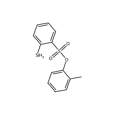 Cc1ccccc1OS(=O)(=O)c1ccccc1[SiH3]